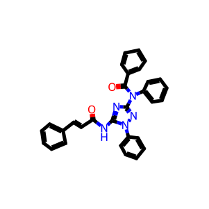 O=C(C=Cc1ccccc1)Nc1nc(N(C(=O)c2ccccc2)c2ccccc2)nn1-c1ccccc1